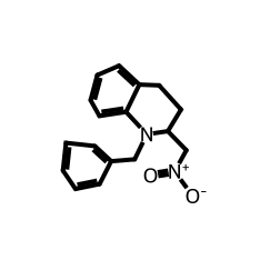 O=[N+]([O-])CC1CCc2ccccc2N1Cc1ccccc1